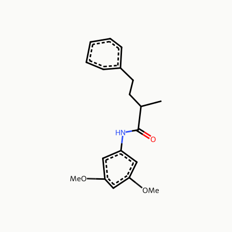 COc1cc(NC(=O)C(C)CCc2ccccc2)cc(OC)c1